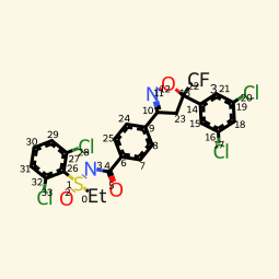 CCS(=O)(=NC(=O)c1ccc(C2=NOC(c3cc(Cl)cc(Cl)c3)(C(F)(F)F)C2)cc1)c1c(Cl)cccc1Cl